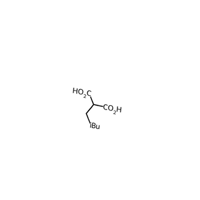 CCC(C)CC(C(=O)O)C(=O)O